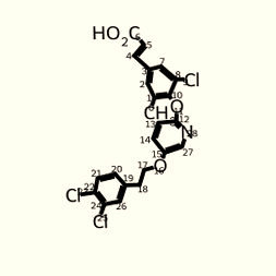 Cc1cc(C=CC(=O)O)cc(Cl)c1Oc1ccc(OCCc2ccc(Cl)c(Cl)c2)cn1